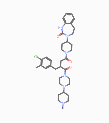 Cc1cc(CC(CC(=O)N2CCC(N3CCc4ccccc4NC3=O)CC2)C(=O)N2CCN(C3CCN(C)CC3)CC2)ccc1Cl